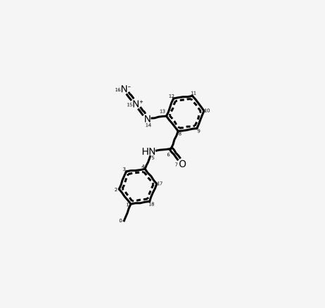 Cc1ccc(NC(=O)c2ccccc2N=[N+]=[N-])cc1